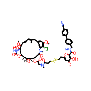 COc1cc2cc(c1Cl)N(C)C(=O)C[C@@H](OC(=O)CN(C)C(=O)CCSSCCc1cc(=O)c(O)c(C(=O)NCc3ccc(-c4ccc(C#N)cc4)cc3)o1)[C@]1(C)O[C@H]1[C@@H](C)C1C[C@](O)(NC(=O)O1)[C@@H](OC)/C=C/C=C(\C)C2